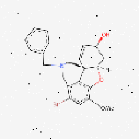 COc1cc(Br)c2c3c1O[C@@H]1C[C@H](O)C=C[C@@]31CCN(Cc1ccccc1)C2